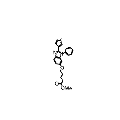 COC(=O)CCCCOc1ccc2nc(-c3ccsc3)n(-c3ccccc3)c2c1